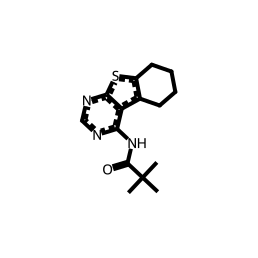 CC(C)(C)C(=O)Nc1ncnc2sc3c(c12)CCCC3